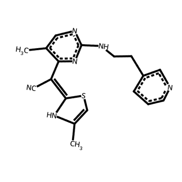 CC1=CSC(=C(C#N)c2nc(NCCc3cccnc3)ncc2C)N1